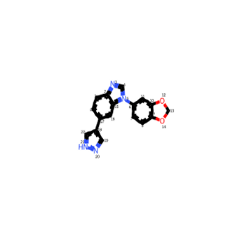 c1cc2ncn(-c3ccc4c(c3)OCO4)c2cc1-c1cn[nH]c1